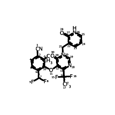 Cc1c(C#N)ccc(C(F)F)c1Oc1c(C(F)(F)C(F)(F)F)ncn(Cc2ccc[nH]c2=O)c1=O